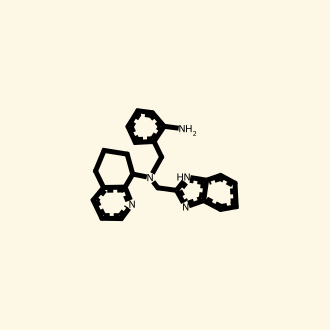 Nc1ccccc1CN(Cc1nc2ccccc2[nH]1)C1CCCc2cccnc21